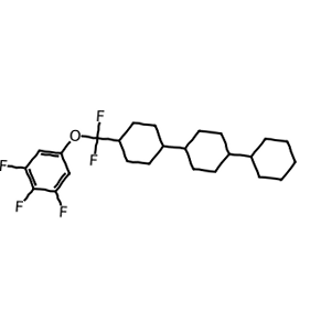 Fc1cc(OC(F)(F)C2CCC(C3CCC(C4CCCCC4)CC3)CC2)cc(F)c1F